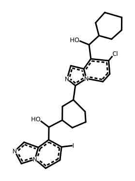 OC(c1c(I)ccn2cncc12)C1CCCC(c2ncc3c(C(O)C4CCCCC4)c(Cl)ccn23)C1